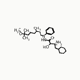 COC(C)(C)CCCC(C)CCN(NC(=O)C(O)[C@H](N)CC1CCCCC1)c1ccccc1